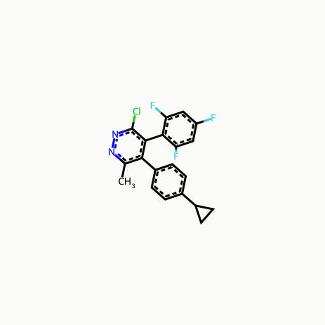 Cc1nnc(Cl)c(-c2c(F)cc(F)cc2F)c1-c1ccc(C2CC2)cc1